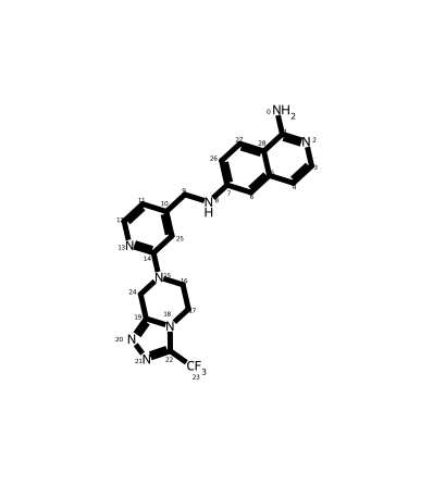 Nc1nccc2cc(NCc3ccnc(N4CCn5c(nnc5C(F)(F)F)C4)c3)ccc12